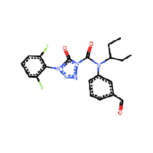 CCC(CC)N(C(=O)n1nnn(-c2c(F)cccc2F)c1=O)c1cccc(C=O)c1